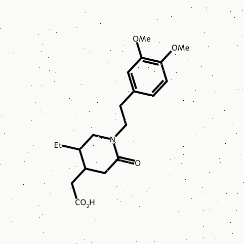 CCC1CN(CCc2ccc(OC)c(OC)c2)C(=O)CC1CC(=O)O